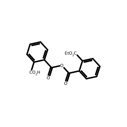 CCOC(=O)c1ccccc1C(=O)OC(=O)c1ccccc1C(=O)O